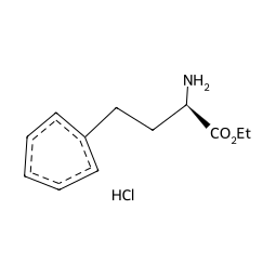 CCOC(=O)[C@H](N)CCc1ccccc1.Cl